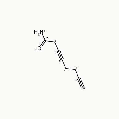 C#CCCC#CCC(N)=O